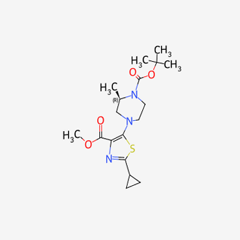 COC(=O)c1nc(C2CC2)sc1N1CCN(C(=O)OC(C)(C)C)[C@H](C)C1